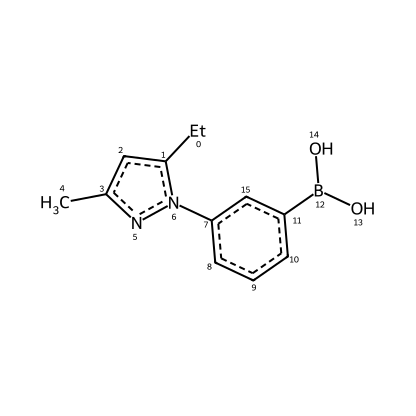 CCc1cc(C)nn1-c1cccc(B(O)O)c1